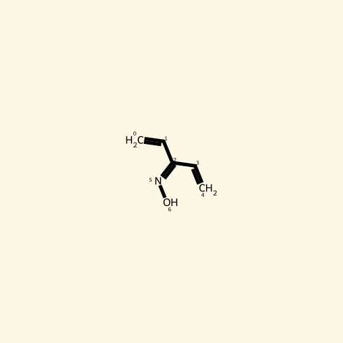 C=CC(C=C)=NO